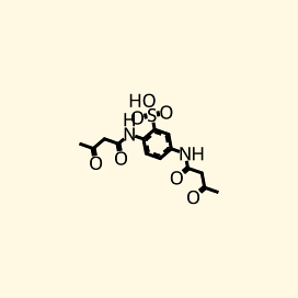 CC(=O)CC(=O)Nc1ccc(NC(=O)CC(C)=O)c(S(=O)(=O)O)c1